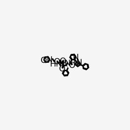 O=C(NOCCN1CCOCC1)C(=O)[C@@H](Cc1ccccc1)NC(=O)c1cccnc1-n1ccc(-c2ccccc2)n1